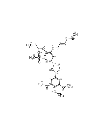 CCCOc1c(OCC=CCNO)cc([C@@H]2CC[C@@H](c3cc(OC)c(OC)c(OC)c3)O2)cc1S(C)(=O)=O